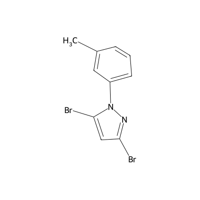 Cc1cccc(-n2nc(Br)cc2Br)c1